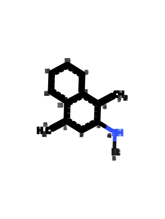 C=c1cc(NCC)c(=C)c2ccccc12